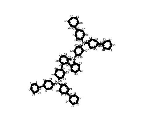 c1ccc(-c2ccc(N(c3ccc(-c4ccccc4)cc3)c3ccc(-c4cccc5c4c4ccccc4n5-c4ccc(N(c5ccc(-c6ccccc6)cc5)c5ccc(-c6ccccc6)cc5)cc4)cc3)cc2)cc1